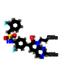 COCCn1c(=O)c(-c2ccc(NS(=O)(=O)Cc3ccccc3F)c(F)c2)cc2cnc(SC)nc21